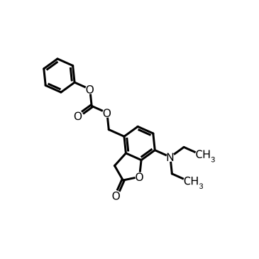 CCN(CC)c1ccc(COC(=O)Oc2ccccc2)c2c1OC(=O)C2